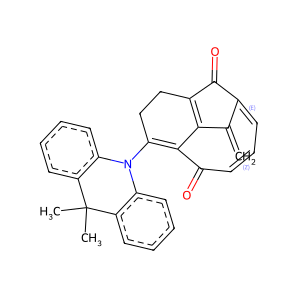 C=C1C2=C3CCC(N4c5ccccc5C(C)(C)c5ccccc54)=C2C(=O)/C=C\C=C/1C3=O